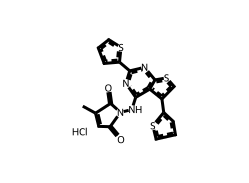 CC1=CC(=O)N(Nc2nc(-c3cccs3)nc3scc(-c4cccs4)c23)C1=O.Cl